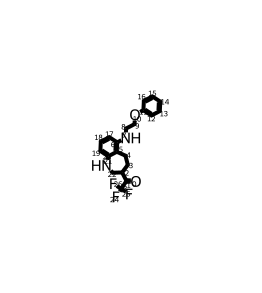 O=C(C1CCc2c(NCCOc3ccccc3)cccc2NC1)C(F)(F)F